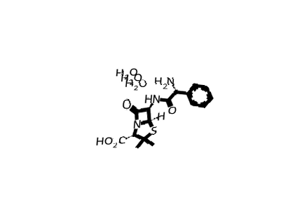 CC1(C)S[C@@H]2[C@H](NC(=O)[C@H](N)c3ccccc3)C(=O)N2[C@H]1C(=O)O.O.O.O